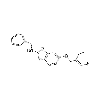 CC/C(=C\F)COc1ccc2nc(NCc3ccccc3)oc2c1